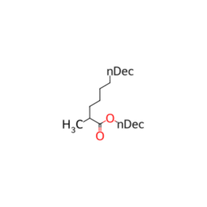 CCCCCCCCCCCCCCC(C)C(=O)OCCCCCCCCCC